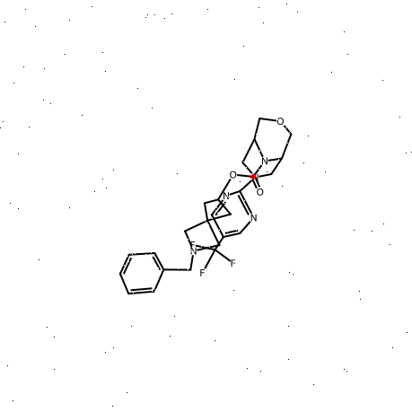 O=C(OC1CC2(C1)CN(Cc1ccccc1)C2)N1C2COCC1CN(c1ncc(C(F)(F)F)cn1)C2